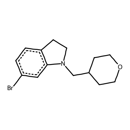 Brc1ccc2c(c1)N(CC1CCOCC1)CC2